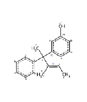 C/C=C(\C)C(C)(c1ccccc1)c1cccc(O)c1